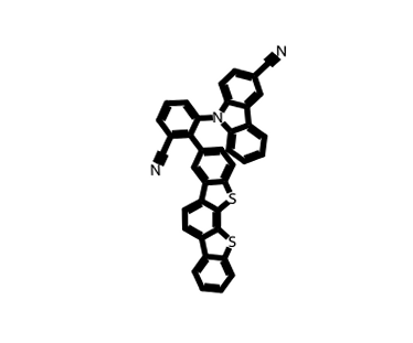 N#Cc1ccc2c(c1)c1ccccc1n2-c1cccc(C#N)c1-c1ccc2sc3c(ccc4c5ccccc5sc43)c2c1